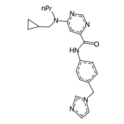 CCCN(CC1CC1)c1cc(C(=O)Nc2ccc(Cn3ccnc3)cc2)ncn1